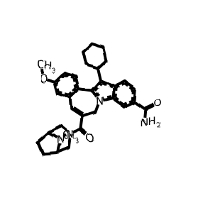 COc1ccc2c(c1)C=C(C(=O)N1CC3CCC(C1)N3C)Cn1c-2c(C2CCCCC2)c2ccc(C(N)=O)cc21